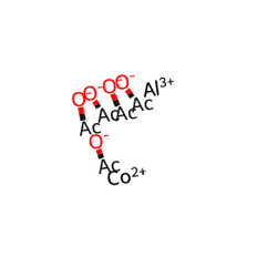 CC(=O)[O-].CC(=O)[O-].CC(=O)[O-].CC(=O)[O-].CC(=O)[O-].[Al+3].[Co+2]